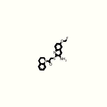 Nc1cc2cc(OCF)ccc2nc1SCC(=O)N1CCCc2ccccc21